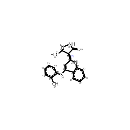 CC1=NNC(=O)/C1=C1/C=C(Sc2ccccc2C)c2ccccc2N1